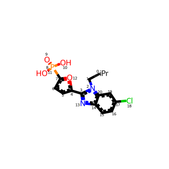 CC(C)Cn1c(-c2ccc(P(=O)(O)O)o2)nc2ccc(Cl)cc21